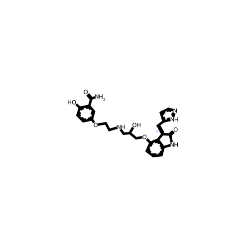 NC(=O)c1cc(OCCNCC(O)COc2cccc3c2/C(=C/c2ccn[nH]2)C(=O)N3)ccc1O